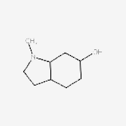 CN1CCC2CCC(O)CC21